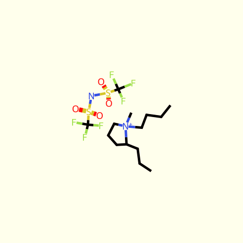 CCCC[N+]1(C)CCCC1CCC.O=S(=O)([N-]S(=O)(=O)C(F)(F)F)C(F)(F)F